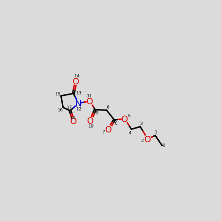 CCOCCOC(=O)CC(=O)ON1C(=O)CCC1=O